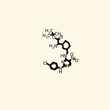 CC(C)(C)OC(=O)C(N)C1CCCC(CNc2nc(Nc3ccc(Cl)cc3)ncc2[N+](=O)[O-])C1